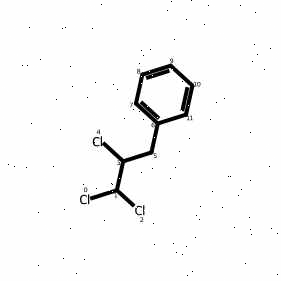 ClC(Cl)C(Cl)Cc1ccccc1